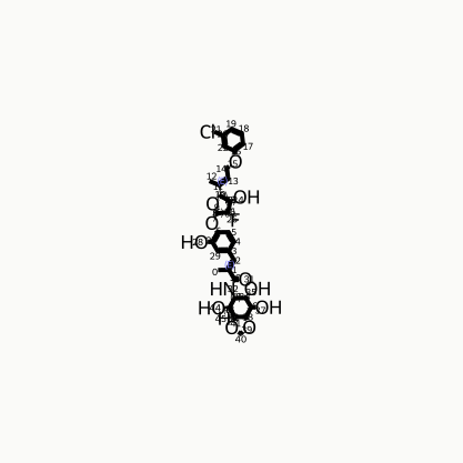 C/C(=C\c1ccc(O[C@@H]2O[C@H](/C(C)=C/COc3cccc(Cl)c3)[C@@H](O)[C@@H]2F)c(O)c1)C(=O)N[C@@H]1C(O)C(O)C2OCO[C@H]2[C@@H]1O